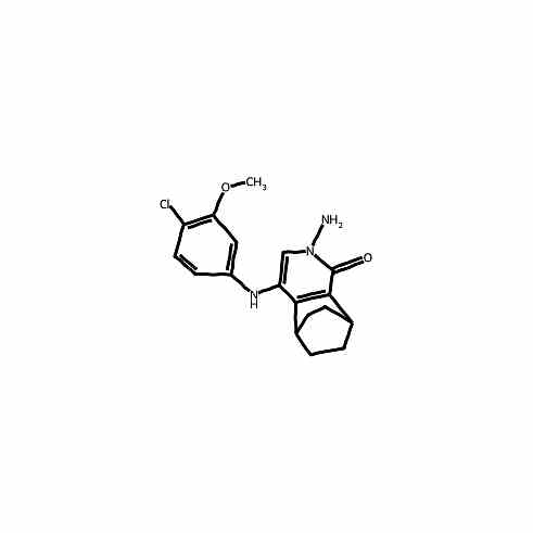 COc1cc(Nc2cn(N)c(=O)c3c2C2CCC3CC2)ccc1Cl